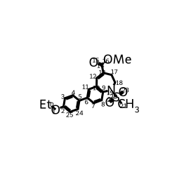 CCOc1ccc(-c2ccc3c(c2)C=C(C(=O)OC)CCN3S(C)(=O)=O)cc1